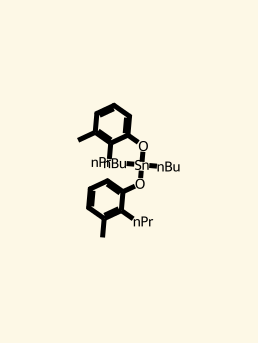 CCC[CH2][Sn]([CH2]CCC)([O]c1cccc(C)c1CCC)[O]c1cccc(C)c1CCC